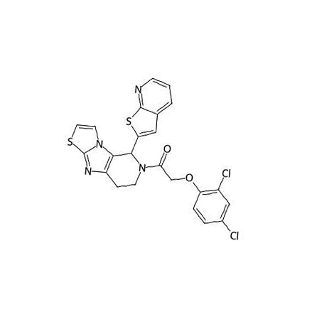 O=C(COc1ccc(Cl)cc1Cl)N1CCc2nc3sccn3c2C1c1cc2cccnc2s1